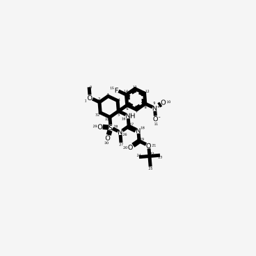 COC1CCC2(c3cc([N+](=O)[O-])ccc3F)N/C(=N/C(=O)OC(C)(C)C)N(C)S(=O)(=O)C2C1